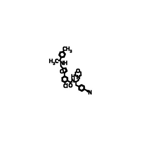 Cc1ccc(C(C)NCc2ccc(-c3ccc(Cl)c(C(=O)NC(Cc4ccc(C#N)cc4)CN4CCOCC4)c3)o2)cc1